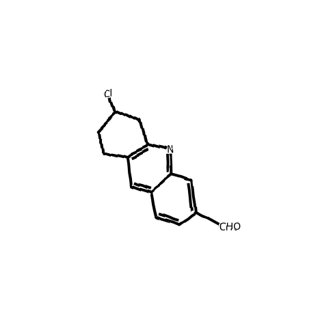 O=Cc1ccc2cc3c(nc2c1)CC(Cl)CC3